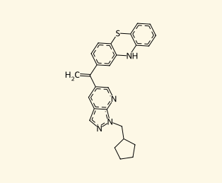 C=C(c1ccc2c(c1)Nc1ccccc1S2)c1cnc2c(cnn2CC2CCCC2)c1